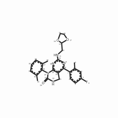 Cc1cc(F)ccc1-c1nc(NCC2OCCO2)nc2c1CNC(=O)N2c1c(C)cccc1C